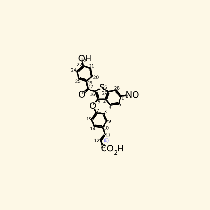 O=Nc1ccc2c(Oc3ccc(/C=C/C(=O)O)cc3)c(C(=O)c3ccc(O)cc3)sc2c1